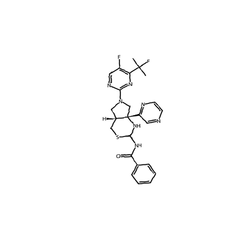 CC(C)(F)c1nc(N2C[C@H]3CSC(NC(=O)c4ccccc4)N[C@@]3(c3cnccn3)C2)ncc1F